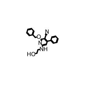 N#Cc1c(-c2ccccc2)cc(NCCO)nc1OCc1ccccc1